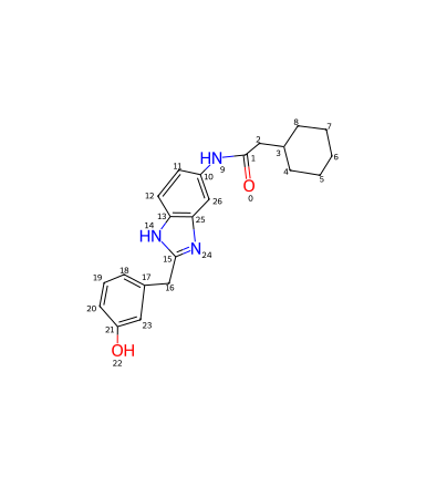 O=C(CC1CCCCC1)Nc1ccc2[nH]c(Cc3cccc(O)c3)nc2c1